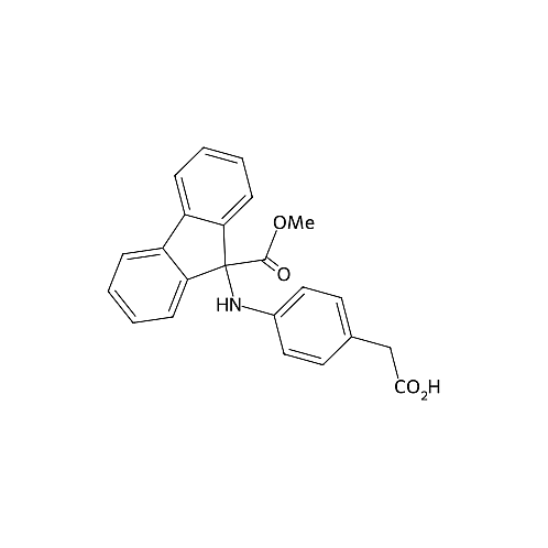 COC(=O)C1(Nc2ccc(CC(=O)O)cc2)c2ccccc2-c2ccccc21